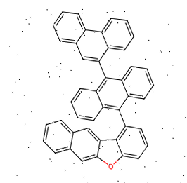 c1ccc2cc3c(cc2c1)oc1cccc(-c2c4ccccc4c(-c4cc5ccccc5c5ccccc45)c4ccccc24)c13